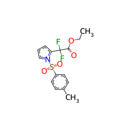 CCOC(=O)C(F)(F)c1cccn1S(=O)(=O)c1ccc(C)cc1